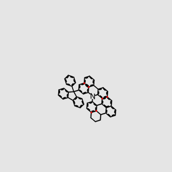 c1ccc(-c2ccccc2N(c2cccc(C3(c4ccccc4)c4ccccc4-c4ccccc43)c2)c2ccccc2-c2cccc3cccc(C4CCCCC4)c23)cc1